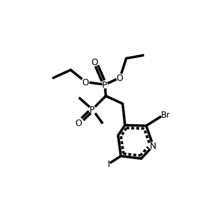 CCOP(=O)(OCC)C(Cc1cc(I)cnc1Br)P(C)(C)=O